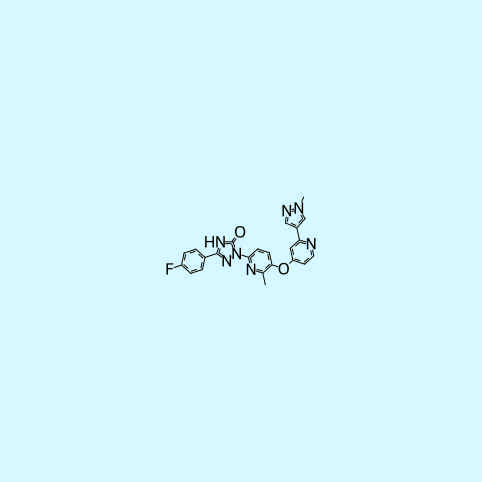 Cc1nc(-n2nc(-c3ccc(F)cc3)[nH]c2=O)ccc1Oc1ccnc(-c2cnn(C)c2)c1